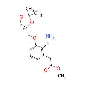 COC(=O)Cc1cccc(OC[C@@H]2COC(C)(C)O2)c1CN